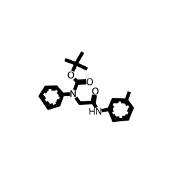 Cc1cccc(NC(=O)CN(C(=O)OC(C)(C)C)c2ccccc2)c1